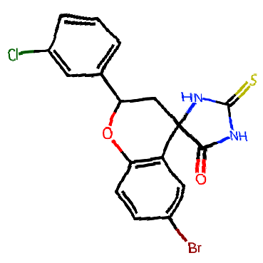 O=C1NC(=S)NC12CC(c1cccc(Cl)c1)Oc1ccc(Br)cc12